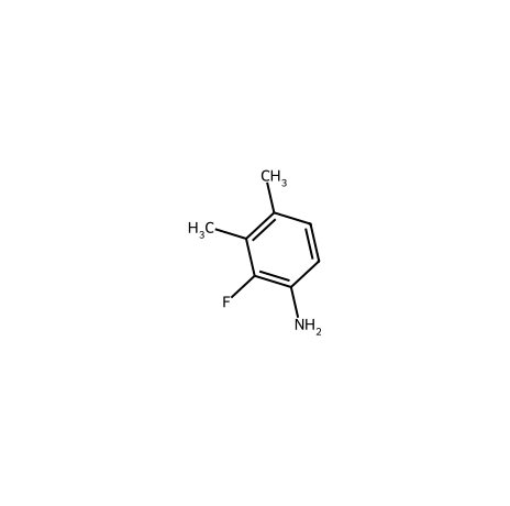 Cc1ccc(N)c(F)c1C